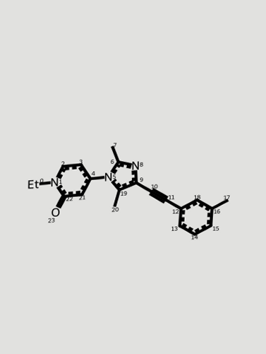 CCn1ccc(-n2c(C)nc(C#Cc3cccc(C)c3)c2C)cc1=O